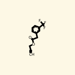 C#CCOC(=O)Cc1cccc(C(F)(F)F)c1